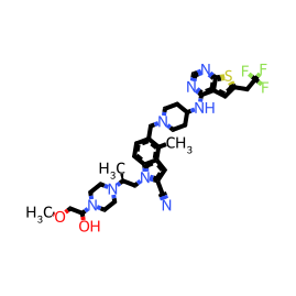 COCC(O)N1CCN([C@@H](C)Cn2c(C#N)cc3c(C)c(CN4CCC(Nc5ncnc6sc(CC(F)(F)F)cc56)CC4)ccc32)CC1